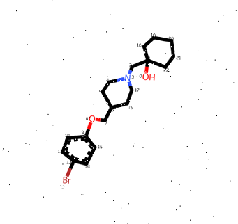 OC1(CN2CCC(COc3ccc(Br)cc3)CC2)CCCCC1